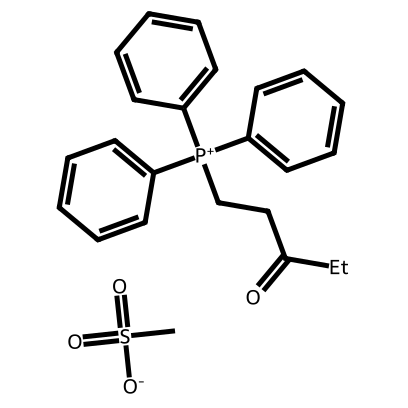 CCC(=O)CC[P+](c1ccccc1)(c1ccccc1)c1ccccc1.CS(=O)(=O)[O-]